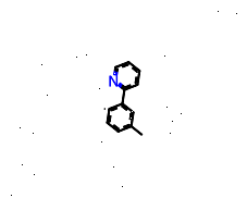 Cc1cc[c]c(-c2ccccn2)c1